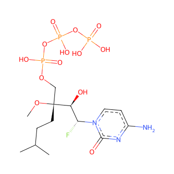 CO[C@](CCC(C)C)(COP(=O)(O)OP(=O)(O)OP(=O)(O)O)[C@@H](O)[C@@H](F)n1ccc(N)nc1=O